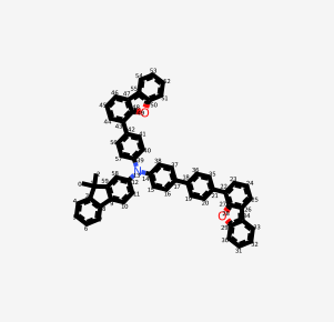 CC1(C)c2ccccc2-c2ccc(N(c3ccc(-c4ccc(-c5cccc6c5oc5ccccc56)cc4)cc3)c3ccc(-c4cccc5c4oc4ccccc45)cc3)cc21